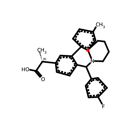 Cc1ccc(-c2cc([C@@H](C)C(=O)O)ccc2C(c2ccc(F)cc2)N2CCCCC2)cc1